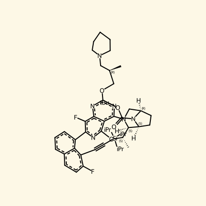 CC(C)[Si](C#Cc1c(F)ccc2cccc(-c3nc4c5c(nc(OC[C@H](C)CN6CCCCC6)nc5c3F)N3C[C@H]5CC[C@@H]([C@H]3[C@H](C)O4)N5C(=O)OC(C)(C)C)c12)(C(C)C)C(C)C